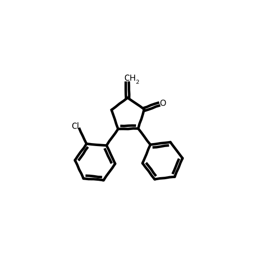 C=C1CC(c2ccccc2Cl)=C(c2ccccc2)C1=O